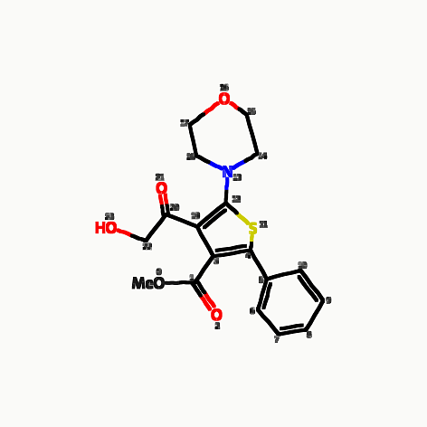 COC(=O)c1c(-c2ccccc2)sc(N2CCOCC2)c1C(=O)CO